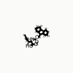 CC#C[C@H](C)[C@@H](NC(=O)OCC1c2ccccc2-c2ccccc21)C(=O)O